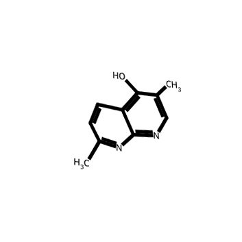 Cc1ccc2c(O)c(C)cnc2n1